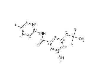 Cc1cnc(NC(=O)c2cc(O)cc(OC(C)(C)O)c2)cn1